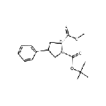 COC(=S)[C@H]1CC(c2ccccc2)CN1C(=O)OC(C)(C)C